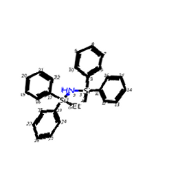 CC[Si](N[Si](C)(c1ccccc1)c1ccccc1)(c1ccccc1)c1ccccc1